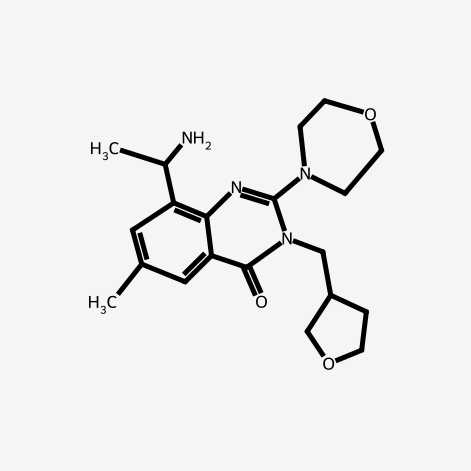 Cc1cc(C(C)N)c2nc(N3CCOCC3)n(CC3CCOC3)c(=O)c2c1